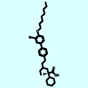 CCCCCCCCOc1ccc(-c2ccc(CCC(CC)C[C@@](F)(C(=O)O)C3CCCCC3)cc2)cc1Br